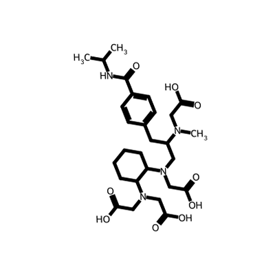 CC(C)NC(=O)c1ccc(CC(CN(CC(=O)O)C2CCCCC2N(CC(=O)O)CC(=O)O)N(C)CC(=O)O)cc1